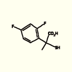 CC(S)(C(=O)O)c1ccc(F)cc1F